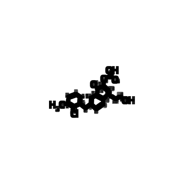 Cc1cccc(Cc2ccc3c(c2)c(=O)c(OC(=O)O)cn3CCO)c1Cl